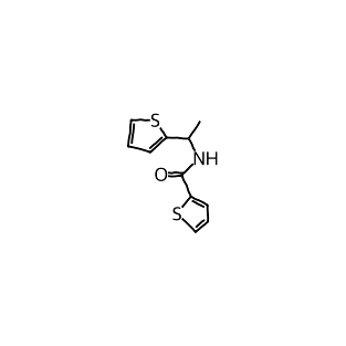 CC(NC(=O)c1cccs1)c1cccs1